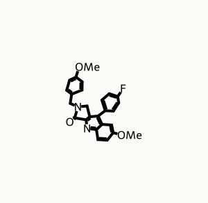 COc1ccc(CN2Cc3c(nc4ccc(OC)cc4c3-c3ccc(F)cc3)C2=O)cc1